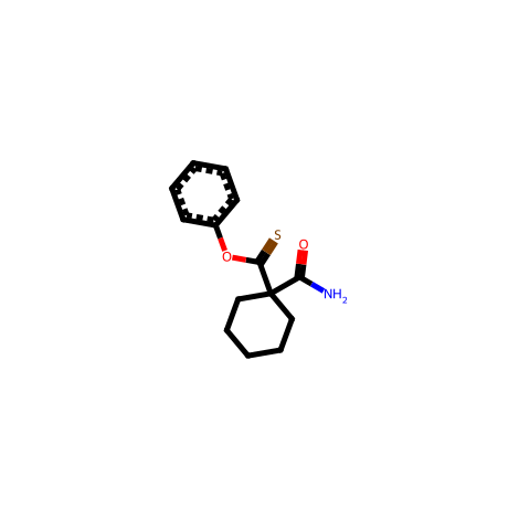 NC(=O)C1(C(=S)Oc2ccccc2)CCCCC1